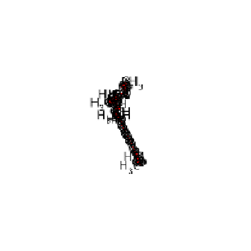 COc1cc2c(cc1OCCCOc1cc3c(cc1OC)C(=O)N1C=C(C)C[C@H]1[C@H](O)N3C(=O)OCc1ccc(NC(=O)[C@H](C)NC(=O)CNC(=O)CCOCCOCCOCCOCCOCCOCCOCCOCCNC(=O)CCN3C(=O)CC(C)C3=O)cc1)N=CC1CC(C)=CN1C2=O